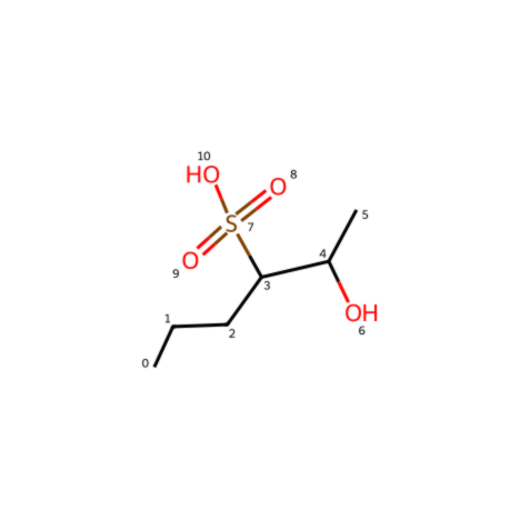 CCCC(C(C)O)S(=O)(=O)O